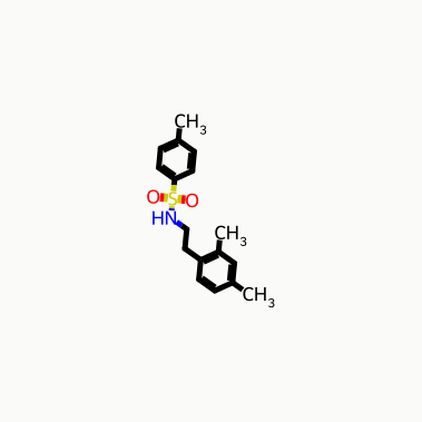 Cc1ccc(S(=O)(=O)NCCc2ccc(C)cc2C)cc1